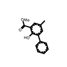 COC(=O)c1cc(C)cc(-c2ccccc2)c1O